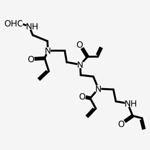 C=CC(=O)NCCN(CCN(CCN(CCNC=O)C(=O)C=C)C(=O)C=C)C(=O)C=C